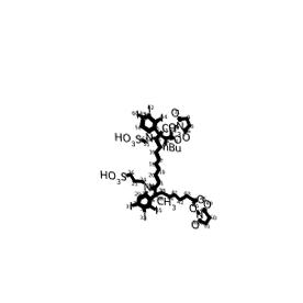 CCCCC(C(=O)ON1C(=O)CCC1=O)C1(C)/C(=C/C=C/C=C/C=C/C2=[N+](CCCS(=O)(=O)O)c3cc(I)c(I)c(I)c3C2(C)CCCCCC(=O)ON2C(=O)CCC2=O)N(CS(=O)(=O)O)c2cc(I)c(I)c(I)c21